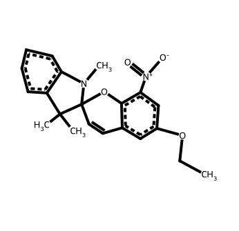 CCOc1cc2c(c([N+](=O)[O-])c1)OC1(C=C2)N(C)c2ccccc2C1(C)C